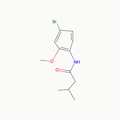 COc1cc(Br)ccc1NC(=O)CC(C)C